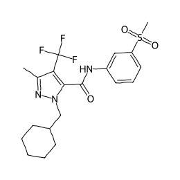 Cc1nn(CC2CCCCC2)c(C(=O)Nc2cccc(S(C)(=O)=O)c2)c1C(F)(F)F